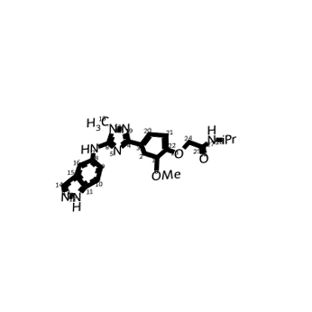 COC1CC(c2nc(Nc3ccc4[nH]ncc4c3)n(C)n2)=CC=C1OCC(=O)NC(C)C